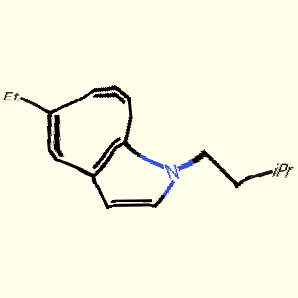 CCc1ccc2c(ccn2CCC(C)C)c1